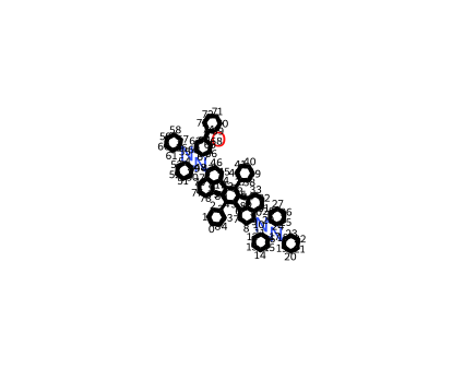 c1ccc(-c2c3c4ccc(N5c6ccccc6N(c6ccccc6)c6ccccc65)c5cccc(c3c(-c3ccccc3)c3c6ccc(N7c8ccccc8N(c8ccccc8)c8cc9c(cc87)oc7ccccc79)c7cccc(c23)c76)c54)cc1